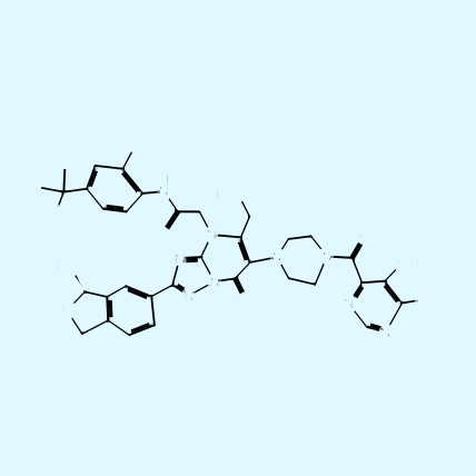 CCc1c(N2CCN(C(=O)c3ncnc(C)c3O)CC2)c(=O)n2nc(-c3ccc4c(c3)[C@H](C)OC4)nc2n1CC(=O)Nc1ccc(C(F)(F)F)cc1Cl